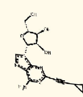 Nc1nc(C#CC2CC2)nc2c1ncn2[C@@H]1O[C@H](CO)[C@@H](O)[C@H]1O